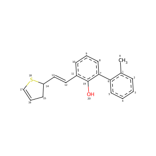 Cc1ccccc1-c1cccc(C=CC2CC=CS2)c1O